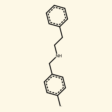 [CH2]c1ccc(CNCCc2ccccc2)cc1